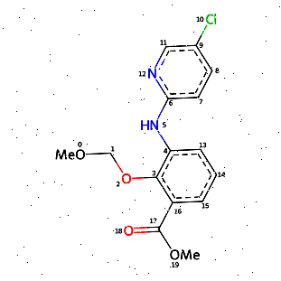 COCOc1c(Nc2ccc(Cl)cn2)cccc1C(=O)OC